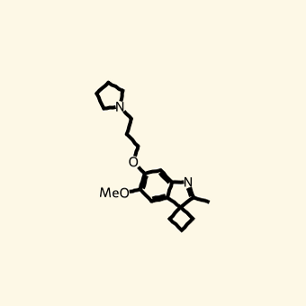 COc1cc2c(cc1OCCCN1CCCC1)N=C(C)C21CCC1